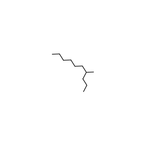 CCCCCCC(C)CCC